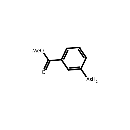 COC(=O)c1c[c]cc([AsH2])c1